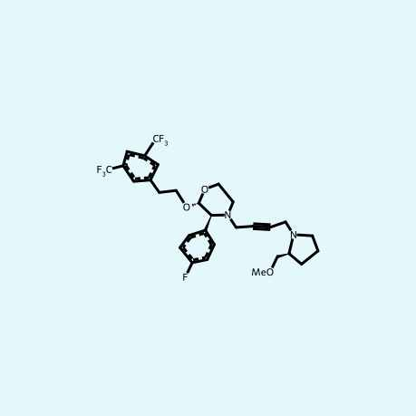 COC[C@@H]1CCCN1CC#CCN1CCO[C@@H](OCCc2cc(C(F)(F)F)cc(C(F)(F)F)c2)[C@@H]1c1ccc(F)cc1